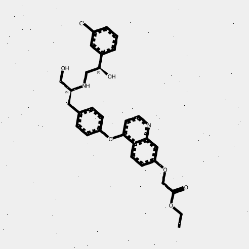 CCOC(=O)COc1ccc2c(Oc3ccc(C[C@@H](CO)NC[C@H](O)c4cccc(Cl)c4)cc3)ccnc2c1